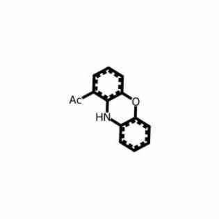 CC(=O)c1cccc2c1Nc1ccccc1O2